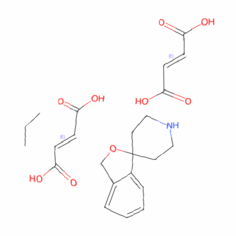 CCC.O=C(O)/C=C/C(=O)O.O=C(O)/C=C/C(=O)O.c1ccc2c(c1)COC21CCNCC1